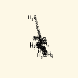 CCCCCCCCCCCCCCCCCCOC[C@H](COP(=O)(Oc1ccccc1Cl)OC1[C@@]2(C)O[C@@H](c3ccc4c(NC(=O)OC(C)(C)C)ncnn34)[C@@H]3OC(C)(C)O[C@@]132)OCc1ccccc1